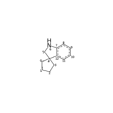 [CH]1CCCC12CNc1ccccc12